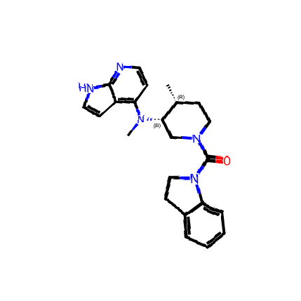 C[C@@H]1CCN(C(=O)N2CCc3ccccc32)C[C@@H]1N(C)c1ccnc2[nH]ccc12